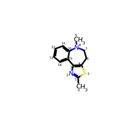 Cc1nc2c(s1)CCN(C)c1ccccc1-2